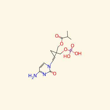 CC(C)C(=O)OCC1(COP(=O)(O)O)CC1=Cn1ccc(N)nc1=O